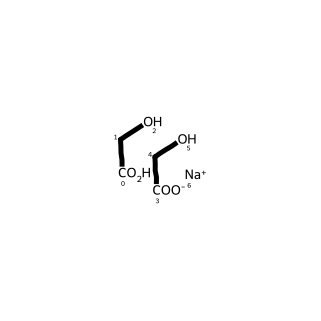 O=C(O)CO.O=C([O-])CO.[Na+]